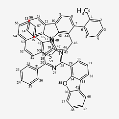 Cc1ccccc1-c1ccc2c3ccccc3n(-c3nc(-c4ccccc4)nc(-c4cccc5c4oc4ccccc45)n3)c2c1CCc1nc2c(ccc3ccccc32)s1